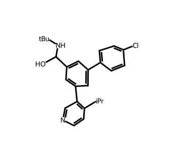 CC(C)c1ccncc1-c1cc(-c2ccc(Cl)cc2)cc(C(O)NC(C)(C)C)c1